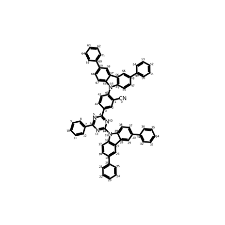 N#Cc1cc(-c2nc(-c3ccccc3)nc(-n3c4ccc(-c5ccccc5)cc4c4cc(-c5ccccc5)ccc43)n2)ccc1-n1c2ccc(-c3ccccc3)cc2c2cc(-c3ccccc3)ccc21